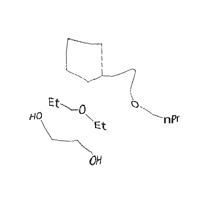 CCCOCC1CCCC1.CCOCC.OCCO